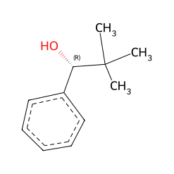 CC(C)(C)[C@@H](O)c1ccccc1